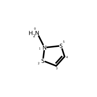 NN1SC=CS1